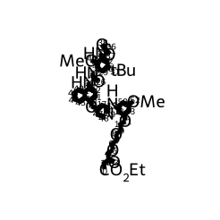 CCOC(=O)CC(=O)COCCOCCOc1cc(Nc2cc(Oc3ccc(NC(=O)Nc4cc(C(C)(C)C)cc(NS(C)(=O)=O)c4OC)c4ccccc34)ccn2)cc(OC)c1